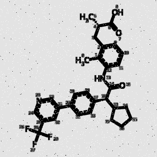 Cc1c(C[C@H](C)C(=O)O)cccc1NC(=O)[C@H](c1ccc(-c2cncc(C(F)(F)F)c2)cc1)C1CCCC1